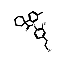 Cc1ccc(C2(C(=O)Oc3ccc(CCC(C)C)cc3C#N)CCCCC2)cc1